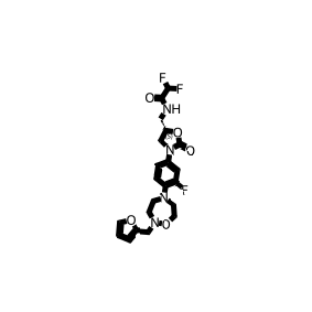 O=C(NC[C@H]1CN(c2ccc(N3CCON(Cc4ccco4)CC3)c(F)c2)C(=O)O1)C(F)F